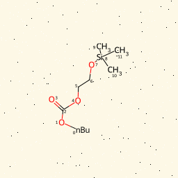 CCCCOC(=O)OCCO[Si](C)(C)C